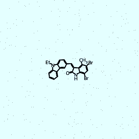 CCn1c2ccccc2c2cc(C=C3C(=O)Nc4c(Br)cc(Br)c(C)c43)ccc21